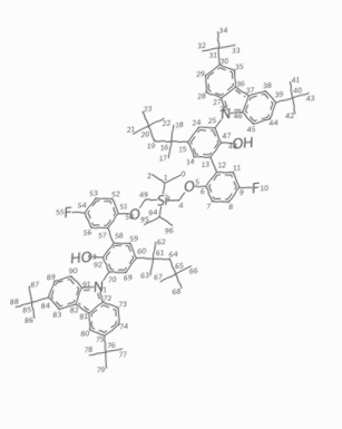 CC(C)[Si](COc1ccc(F)cc1-c1cc(C(C)(C)CC(C)(C)C)cc(-n2c3ccc(C(C)(C)C)cc3c3cc(C(C)(C)C)ccc32)c1O)(COc1ccc(F)cc1-c1cc(C(C)(C)CC(C)(C)C)cc(-n2c3ccc(C(C)(C)C)cc3c3cc(C(C)(C)C)ccc32)c1O)C(C)C